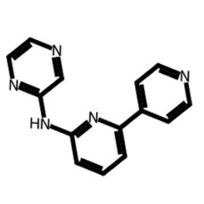 c1cc(Nc2cnccn2)nc(-c2ccncc2)c1